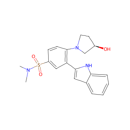 CN(C)S(=O)(=O)c1ccc(N2CC[C@@H](O)C2)c(-c2cc3ccccc3[nH]2)c1